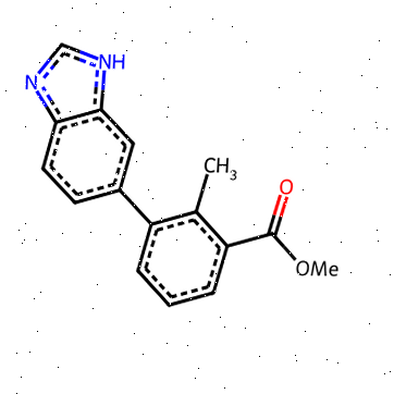 COC(=O)c1cccc(-c2ccc3nc[nH]c3c2)c1C